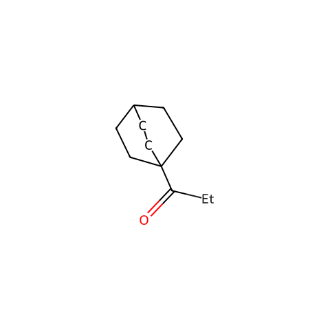 CCC(=O)C12CCC(CC1)CC2